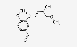 COCC(C)C=COc1cc(C=O)ccc1OC